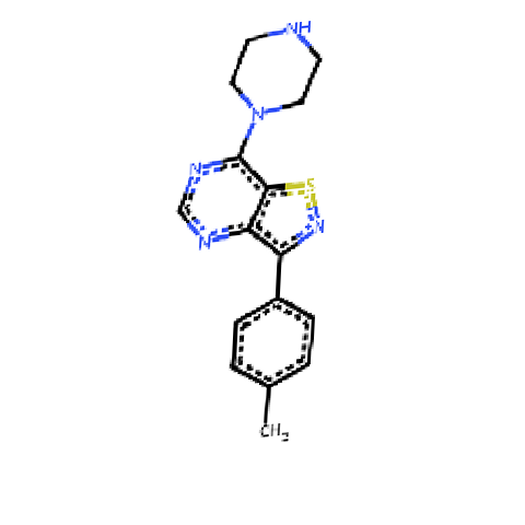 Cc1ccc(-c2nsc3c(N4CCNCC4)ncnc23)cc1